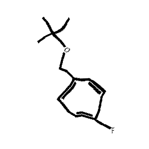 CC(C)(C)OCc1ccc(F)cc1